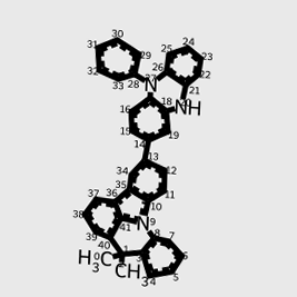 CC1(C)c2ccccc2-n2c3ccc(-c4ccc5c(c4)Nc4ccccc4N5c4ccccc4)cc3c3cccc1c32